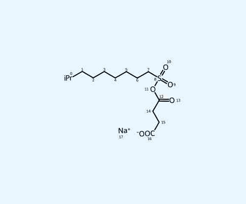 CC(C)CCCCCCCS(=O)(=O)OC(=O)CCC(=O)[O-].[Na+]